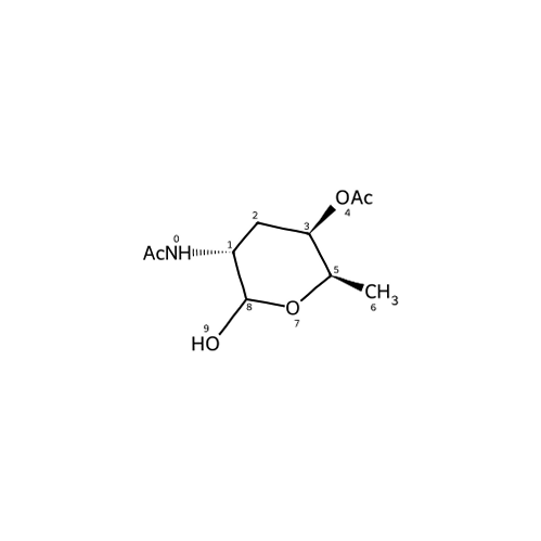 CC(=O)N[C@@H]1C[C@@H](OC(C)=O)[C@@H](C)OC1O